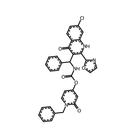 O=C(NC(c1ccccc1)c1c(-c2ncco2)[nH]c2cc(Cl)ccc2c1=O)Oc1ccn(Cc2ccccc2)c(=O)c1